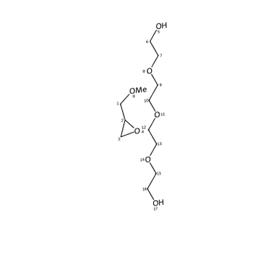 COCC1CO1.OCCOCCOCCOCCO